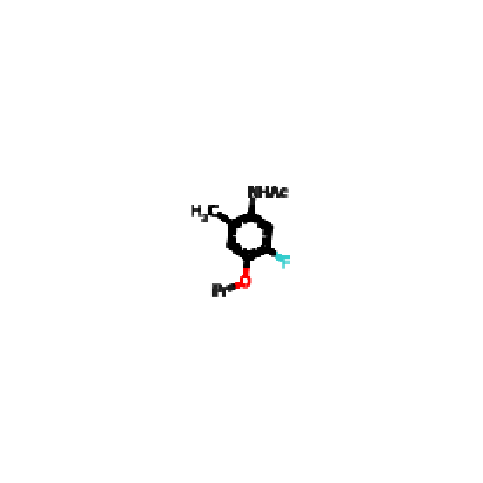 CC(=O)Nc1cc(F)c(OC(C)C)cc1C